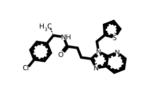 C[C@H](NC(=O)CCc1nc2cccnc2n1Cc1cccs1)c1ccc(Cl)cc1